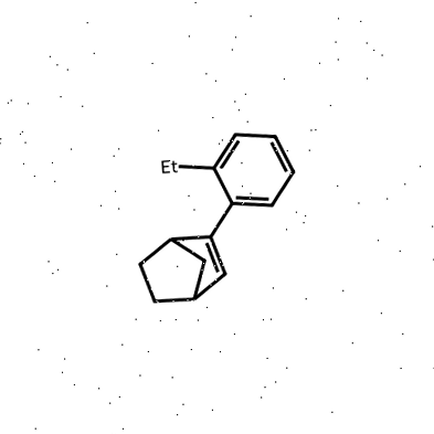 CCc1ccccc1C1=CC2CCC1C2